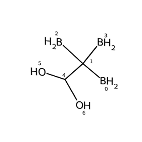 BC(B)(B)C(O)O